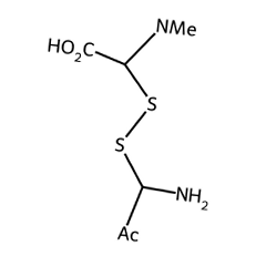 CNC(SSC(N)C(C)=O)C(=O)O